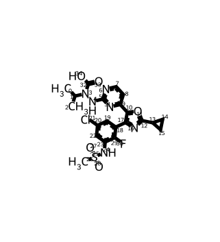 CC(C)N(Nc1nccc(-c2oc(C3CC3)nc2-c2cc(Cl)cc(NS(C)(=O)=O)c2F)n1)C(=O)O